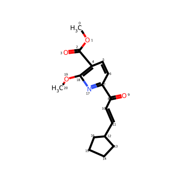 COC(=O)c1ccc(C(=O)/C=C/C2CCCC2)nc1OC